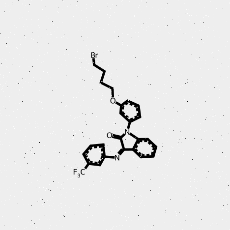 O=C1C(=Nc2cccc(C(F)(F)F)c2)c2ccccc2N1c1cccc(OCCCCBr)c1